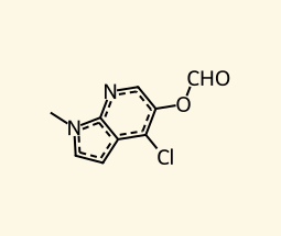 Cn1ccc2c(Cl)c(OC=O)cnc21